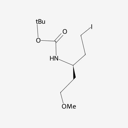 COCC[C@H](CCI)NC(=O)OC(C)(C)C